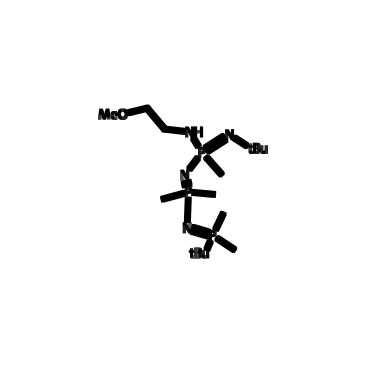 COCCNP(C)(N=P(C)(C)N=P(C)(C)C(C)(C)C)=NC(C)(C)C